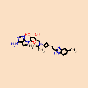 Cc1ccc2[nH]c(CC[C@H]3C[C@@H](N(C[C@H]4O[C@@H](n5ccc6c(N)ncnc65)[C@H](O)[C@@H]4O)C(C)C)C3)nc2c1